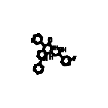 NC(=O)C(c1cccnc1)c1ccc(-c2ccccc2)nc1NCC(O)c1cccc(F)c1